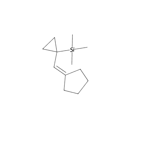 C[Si](C)(C)C1(C=C2CCCC2)CC1